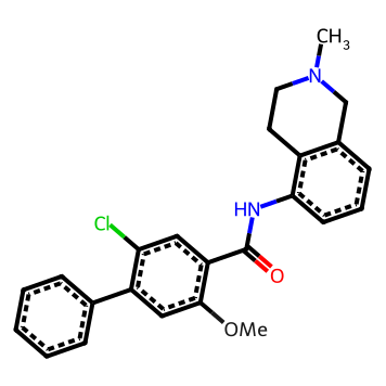 COc1cc(-c2ccccc2)c(Cl)cc1C(=O)Nc1cccc2c1CCN(C)C2